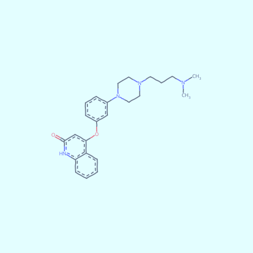 CN(C)CCCN1CCN(c2cccc(Oc3cc(=O)[nH]c4ccccc34)c2)CC1